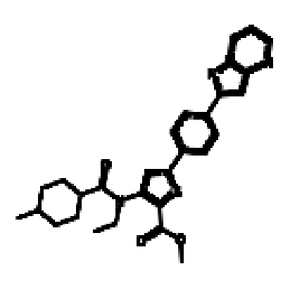 CCN(C(=O)C1CCC(C)CC1)c1cc(-c2ccc(-c3cc4ncccn4n3)cc2)sc1C(=O)OC